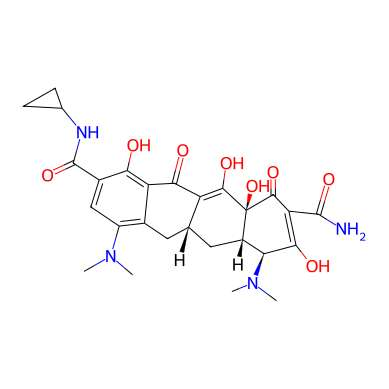 CN(C)c1cc(C(=O)NC2CC2)c(O)c2c1C[C@H]1C[C@H]3[C@H](N(C)C)C(O)=C(C(N)=O)C(=O)[C@@]3(O)C(O)=C1C2=O